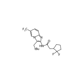 CC(C)(C)Cc1c(NC(=O)CC2CCCC2(F)F)nc2ccc(C(F)(F)F)cn12